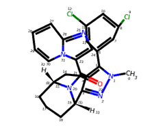 Cn1nc2c(c1-c1cc(Cl)cc(Cl)c1)C[C@H]1CCC[C@@H]2N1C(=O)c1cnc2ccccn12